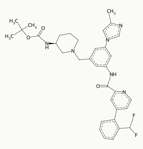 Cc1cn(-c2cc(CN3CCC[C@H](NC(=O)OC(C)(C)C)C3)cc(NC(=O)c3cc(-c4ccccc4C(F)F)ccn3)c2)cn1